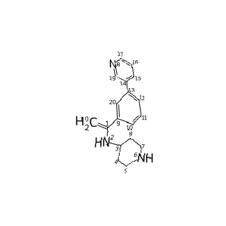 C=C(NC1CCNCC1)c1cccc(-c2cccnc2)c1